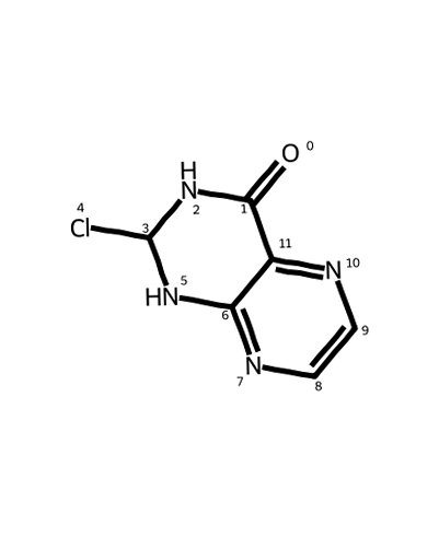 O=C1NC(Cl)Nc2nccnc21